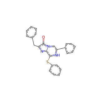 O=c1c(Cc2ccccc2)nc2c(Sc3ccccc3)[nH]c(-c3ccccc3)cn1-2